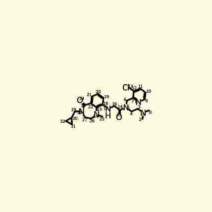 CN(C)CCN(Cc1ncccc1Cl)C(=O)CNc1cccc2c1N(C)CCN(CC1CC1)C2=O